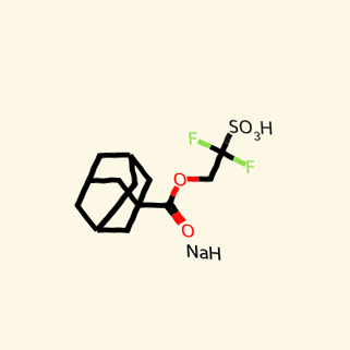 O=C(OCC(F)(F)S(=O)(=O)O)C12CC3CC(CC(C3)C1)C2.[NaH]